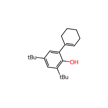 CC(C)(C)c1cc(C2=CCCCC2)c(O)c(C(C)(C)C)c1